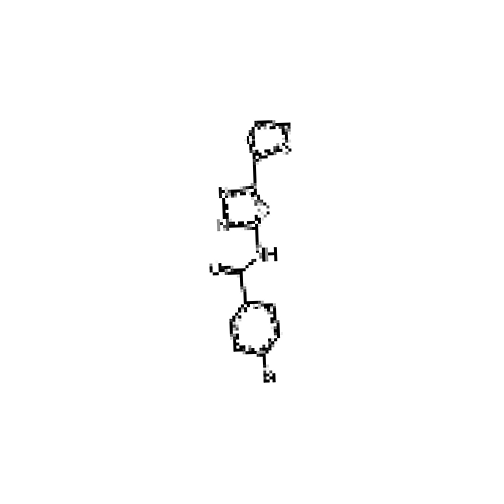 O=C(Nc1nnc(-c2cccs2)o1)c1ccc(Br)cc1